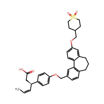 C/C=C\[C@@H](CC(=O)O)c1ccc(OCc2ccc3c(c2)-c2ccc(OCC4CCS(=O)(=O)CC4)cc2CCC3)cc1